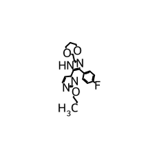 CCCOc1nccc(-c2[nH]c(C3OCCCO3)nc2-c2ccc(F)cc2)n1